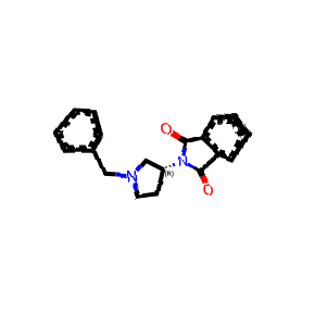 O=C1c2ccccc2C(=O)N1[C@@H]1CCN(Cc2ccccc2)C1